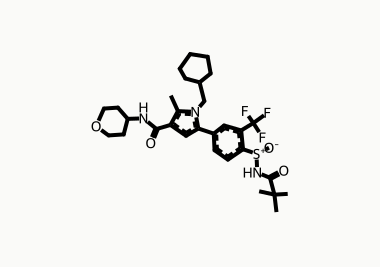 Cc1c(C(=O)NC2CCOCC2)cc(-c2ccc([S+]([O-])NC(=O)C(C)(C)C)c(C(F)(F)F)c2)n1CC1CCCCC1